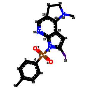 Cc1ccc(S(=O)(=O)n2c(I)cc3c4c(cnc32)CCN4C)cc1